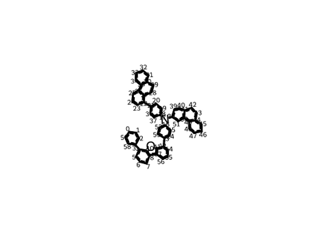 c1ccc(-c2cccc3c2oc2c(-c4ccc(N(c5ccc(-c6cccc7c6ccc6ccccc67)cc5)c5ccc6ccc7ccccc7c6c5)cc4)cccc23)cc1